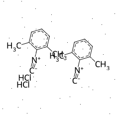 Cl.Cl.[C-]#[N+]c1c(C)cccc1C.[C-]#[N+]c1c(C)cccc1C